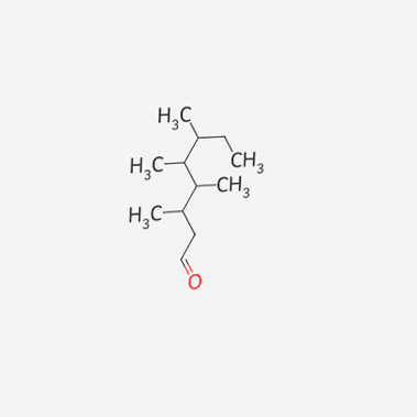 CCC(C)C(C)C(C)C(C)CC=O